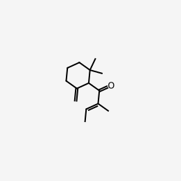 C=C1CCCC(C)(C)C1C(=O)C(C)=CC